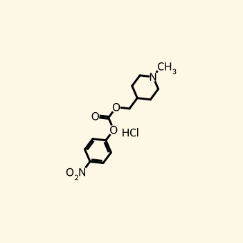 CN1CCC(COC(=O)Oc2ccc([N+](=O)[O-])cc2)CC1.Cl